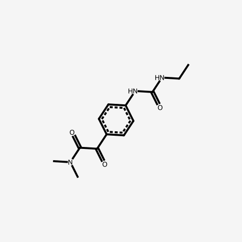 CCNC(=O)Nc1ccc(C(=O)C(=O)N(C)C)cc1